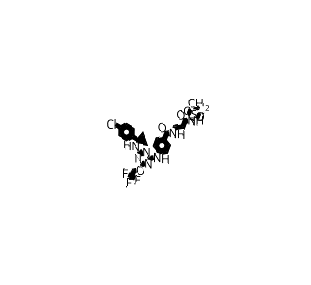 C=CS(=O)(=O)NC(=O)CCNC(=O)c1ccc(Nc2nc(NC3(c4ccc(Cl)cc4)CC3)nc(OCC(F)(F)F)n2)cc1